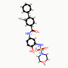 O=C(Nc1ccc(O)c(NS(=O)(=O)N2CCOCC2)c1)c1ccc(-c2ccccc2)c(F)c1